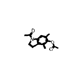 CC(=O)Oc1c(C)cc2c(c1C)CCN2C(C)=O